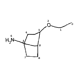 CCOC1CC2(N)CCC12